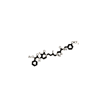 CC(=O)O[C@@H](C(=O)Nc1ccn(CCC(F)Cn2cc(C(=O)NCc3cccc(OC(F)(F)F)c3)nn2)c(=O)c1F)c1ccccc1